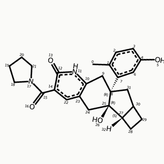 Cc1ccc(O)cc1[C@@]12Cc3[nH]c(=O)c(C(=O)N4CCCC4)cc3C[C@@]1(O)[C@H]1CCC1C2